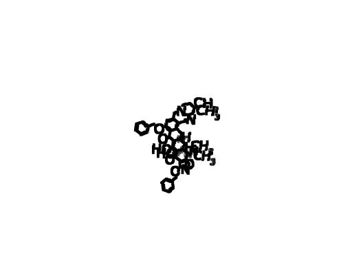 CN(C)[C@@H]1c2onc(OCc3ccccc3)c2C(=O)[C@@]2(O)C(O)=C3C(=O)c4c(OCc5ccccc5)cc(CN5CCC(C)(C)CC5)c(C#N)c4C[C@H]3C[C@@H]12